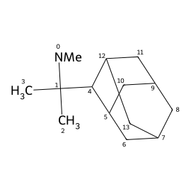 CNC(C)(C)C1C2CC3CC(C2)CC1C3